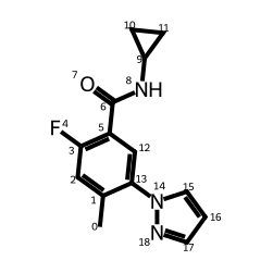 Cc1cc(F)c(C(=O)NC2CC2)cc1-n1cccn1